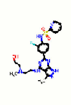 Cc1n[nH]c2nc(-c3ccc(NS(=O)(=O)c4ccccn4)c(F)c3)nc(NCCN(C)CCO)c12